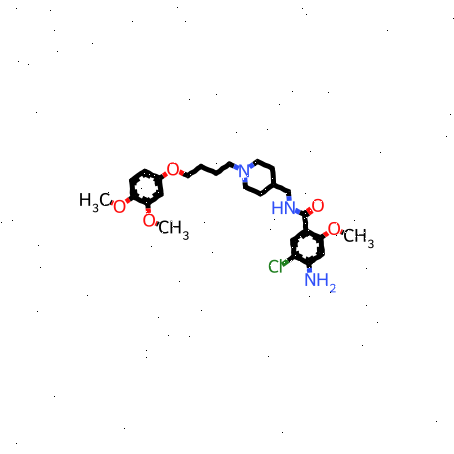 COc1ccc(OCCCCN2CCC(CNC(=O)c3cc(Cl)c(N)cc3OC)CC2)cc1OC